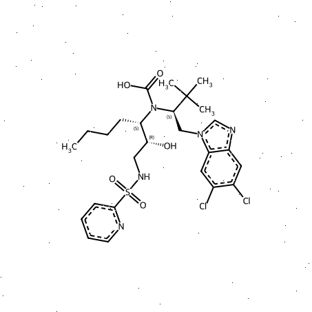 CCCC[C@@H]([C@H](O)CNS(=O)(=O)c1ccccn1)N(C(=O)O)[C@H](Cn1cnc2cc(Cl)c(Cl)cc21)C(C)(C)C